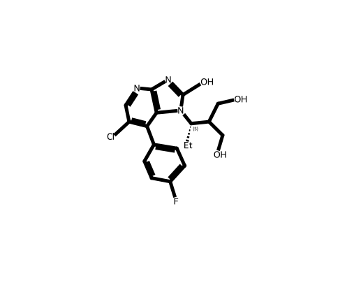 CC[C@@H](C(CO)CO)n1c(O)nc2ncc(Cl)c(-c3ccc(F)cc3)c21